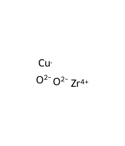 [Cu].[O-2].[O-2].[Zr+4]